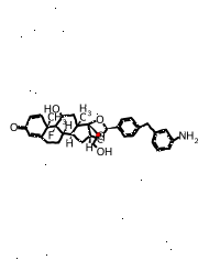 C[C@]12C=CC(=O)C=C1CC[C@H]1[C@@H]3C[C@H]4O[C@H](c5ccc(Cc6cccc(N)c6)cc5)O[C@@]4(C(=O)CO)[C@@]3(C)C[C@H](O)[C@@]12F